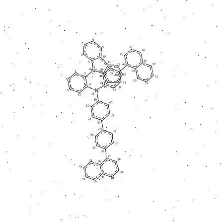 c1ccc(-n2c3ccccc3c3ccccc32)c(N(c2ccc(-c3ccc(-c4cccc5ccccc45)cc3)cc2)c2ccc(-c3cccc4ccccc34)cc2)c1